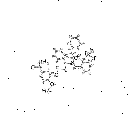 COc1ccc(C(N)=O)cc1OCCCN(Cc1cccc(C(F)(F)F)c1Cl)CC(c1ccccc1)c1ccccc1